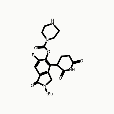 CC(C)(C)N1Cc2c(cc(F)c(OC(=O)N3CCNCC3)c2C2CCC(=O)NC2=O)C1=O